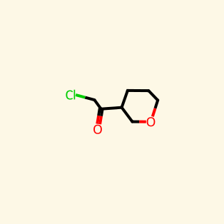 O=C(CCl)C1CCCOC1